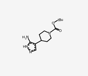 CC(C)(C)OC(=O)N1CCC(c2cn[nH]c2N)CC1